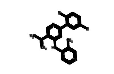 C=C(C)c1cnc(-c2cc(Cl)ccc2F)cc1Nc1ccncc1C